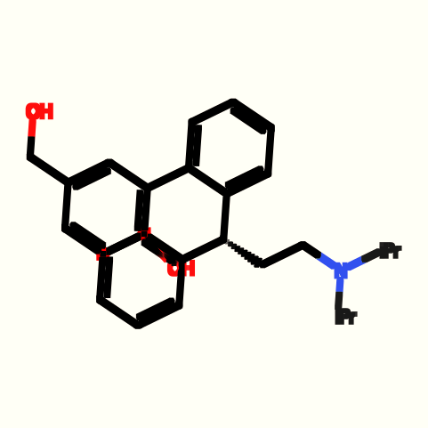 CC(C)N(CC[C@H](c1ccccc1)c1ccccc1-c1cc(CO)ccc1O)C(C)C